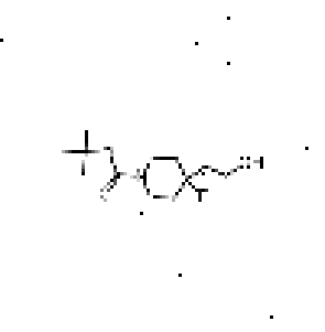 CC(C)(C)OC(=O)N1CCC(F)(CCO)CC1